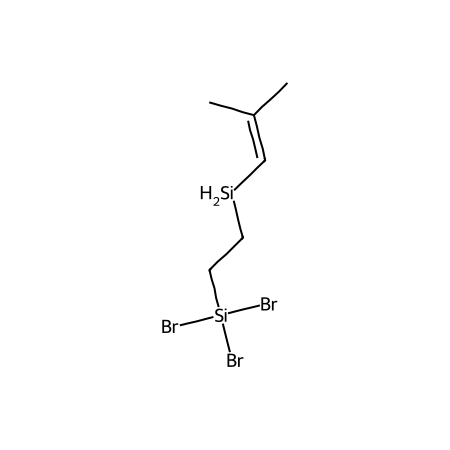 CC(C)=C[SiH2]CC[Si](Br)(Br)Br